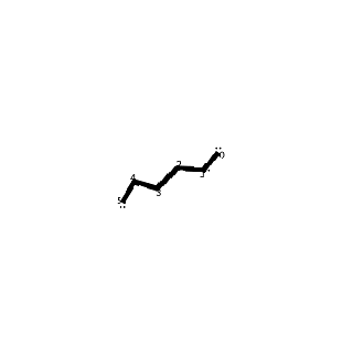 [CH][CH]CCC[CH]